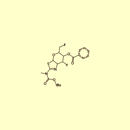 CN(C(=O)OC(C)(C)C)C1=NC2C(OC(CF)C(OC(=O)c3ccccc3)C2F)S1